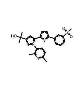 Cc1ccc(-n2nc(C(C)(C)O)cc2-c2ccc(-c3cccc(S(C)(=O)=O)c3)s2)c(C)n1